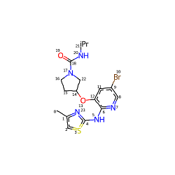 Cc1csc(Nc2ncc(Br)cc2OC2CCN(C(=O)NC(C)C)C2)n1